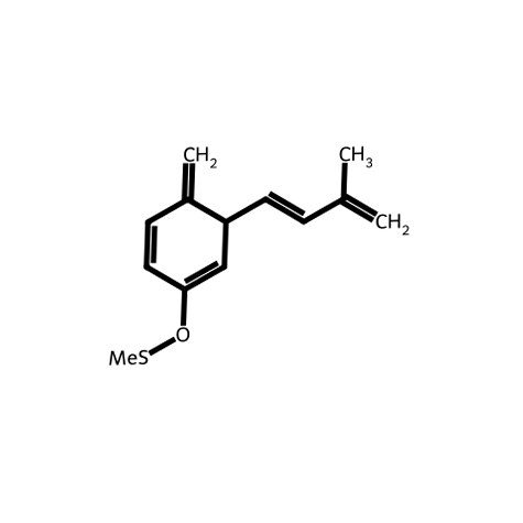 C=C(C)C=CC1C=C(OSC)C=CC1=C